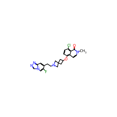 Cn1ccc2c(OC3CC4(C3)CN(CCc3cc5nncn5cc3F)C4)ccc(Cl)c2c1=O